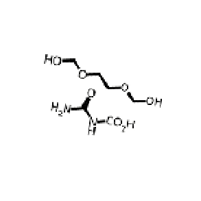 NC(=O)NC(=O)O.OCOCCOCO